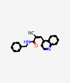 N#CC(=Cc1ccnc2ccccc12)C(=O)NCc1ccccc1